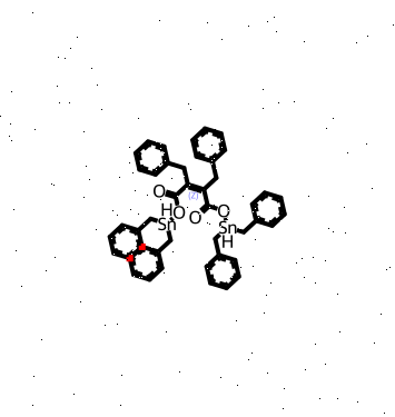 O=C([O][SnH]([CH2]c1ccccc1)[CH2]c1ccccc1)/C(Cc1ccccc1)=C(/Cc1ccccc1)C(=O)[O][SnH]([CH2]c1ccccc1)[CH2]c1ccccc1